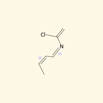 C=C(Cl)/N=C\C=C/C